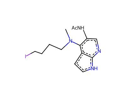 CC(=O)Nc1cnc2[nH]ccc2c1N(C)CCCCI